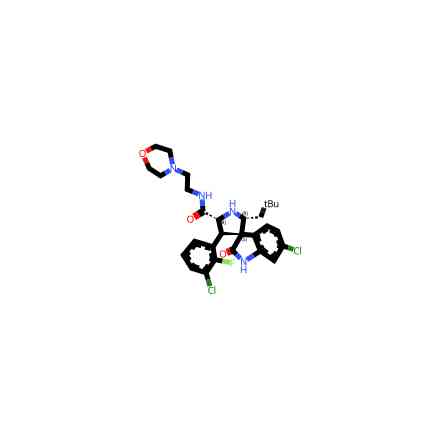 CC(C)(C)C[C@H]1N[C@@H](C(=O)NCCN2CCOCC2)C(c2cccc(Cl)c2F)[C@@]12C(=O)Nc1cc(Cl)ccc12